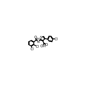 O=C(Nc1scc(-c2ccc(Cl)cc2)c1C(=O)O)c1cccc(Cl)c1Cl